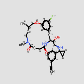 C#Cc1cccc(C2(NCC(O)C3Cc4cc(F)cc(c4)OCC(CCC)CCN(CCC)C(=O)CCC(=O)N3)CC2)c1